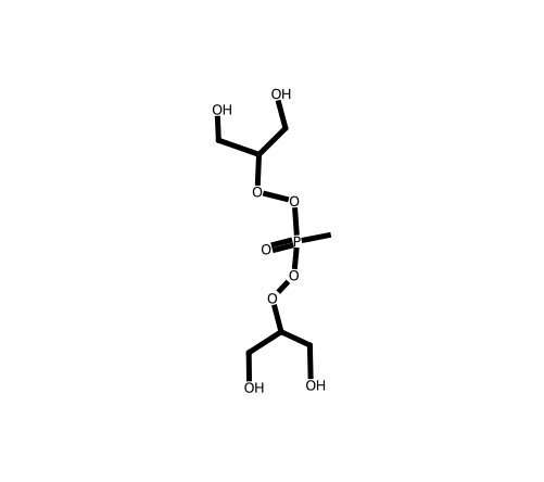 CP(=O)(OOC(CO)CO)OOC(CO)CO